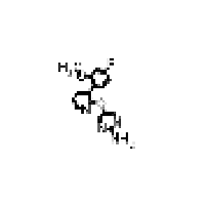 COc1cc(F)ccc1-c1cccnc1Oc1cnc(N)nc1